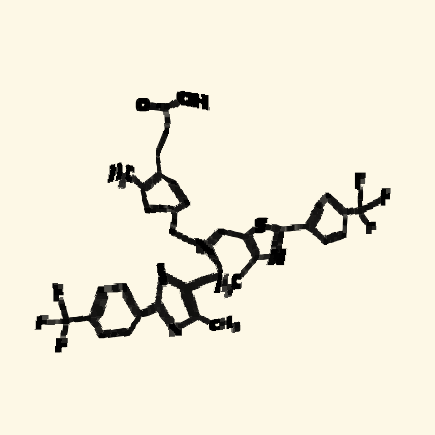 Cc1cc(CN(Cc2sc(-c3ccc(C(F)(F)F)cc3)nc2C)Cc2sc(-c3ccc(C(F)(F)F)cc3)nc2C)ccc1CCC(=O)O